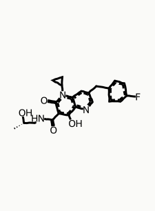 C[C@H](O)CNC(=O)c1c(O)c2ncc(Cc3ccc(F)cc3)cc2n(C2CC2)c1=O